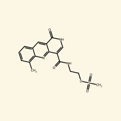 Cc1cccc2cc3c(=O)[nH]cc(C(=O)NCCOS(C)(=O)=O)c3nc12